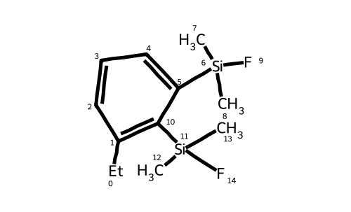 CCc1cccc([Si](C)(C)F)c1[Si](C)(C)F